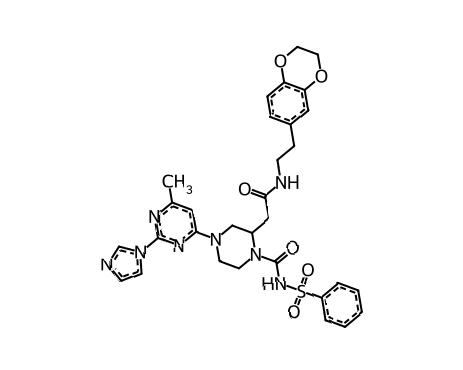 Cc1cc(N2CCN(C(=O)NS(=O)(=O)c3ccccc3)C(CC(=O)NCCc3ccc4c(c3)OCCO4)C2)nc(-n2ccnc2)n1